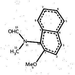 COc1ccc2ccccc2c1N(C)C=O